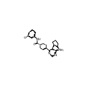 O=C(Nc1cccc(Cl)c1)N1CC=C(c2ncnc3[nH]c4c(c23)CCC4)CC1